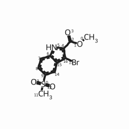 COC(=O)c1[nH]c2ccc(S(C)(=O)=O)cc2c1Br